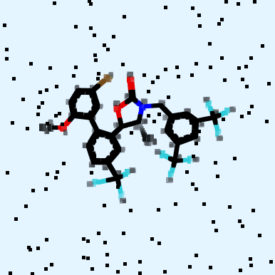 COc1ccc(Br)cc1-c1ccc(C(F)(F)F)cc1C1OC(=O)N(Cc2cc(C(F)(F)F)cc(C(F)(F)F)c2)[C@@H]1C